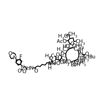 CC[C@H]1OC(=O)[C@H](C)[C@@H](OC2CC(C)(OC)C(OC(=O)NCCCCCC(=O)NC[C@H]3CN(c4ccc(N5CCOCC5)c(F)c4)C(=O)O3)C(C)O2)[C@H](C)[C@@H](OC2OC(C)CC(N(C)C)C2OC(C)=O)[C@](C)(O)C[C@@H](C)[C@H](NC(=O)OC(C)(C)C)[C@H](C)[C@@H](O)[C@]1(C)O